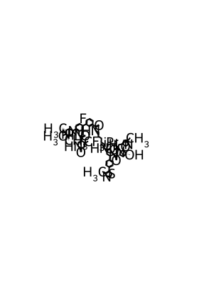 Cc1cc(C(C(=O)N2C[C@H](O)C[C@H]2C(=O)NC(CC(=O)NCCCCCNC(=O)c2ccc(F)c(-c3ccc(N4C[C@@H](C)N(C)[C@@H](C)C4)c(NC(=O)c4c[nH]c(=O)cc4C(F)(F)F)c3)c2)c2ccc(-c3scnc3C)cc2)C(C)C)on1